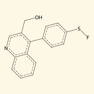 OCc1cnc2ccccc2c1-c1ccc(SF)cc1